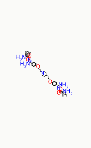 CC(C)[C@H](N)C(=O)O/N=C(\N)c1ccc(OCCCC2CCN(CCCOc3ccc(/C(N)=N/OC(=O)[C@@H](N)C(C)C)cc3)CC2)cc1